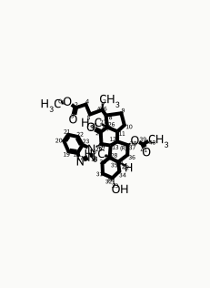 COC(=O)CC[C@@H](C)C1CCC2C3C([C@H](n4nnc5ccccc54)C(=O)[C@@]21C)[C@@]1(C)CC[C@@H](O)C[C@H]1C[C@H]3OC(C)=O